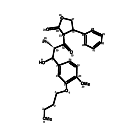 COCCCOc1cc(C(O)[C@@H](C(=O)N2C(=O)OCC2c2ccccc2)C(C)C)ccc1OC